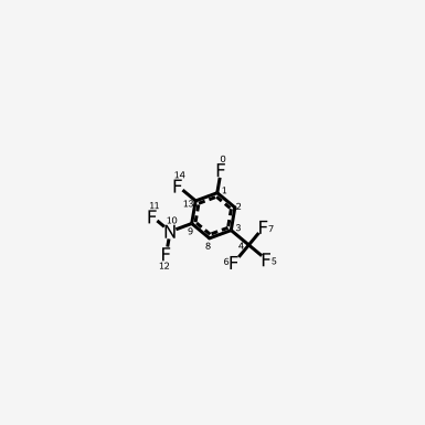 Fc1cc(C(F)(F)F)cc(N(F)F)c1F